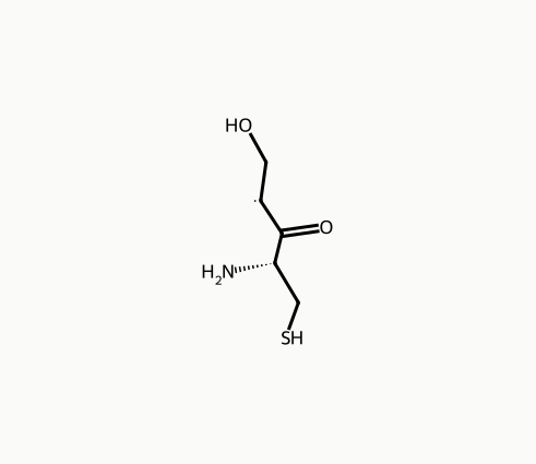 N[C@@H](CS)C(=O)[CH]CO